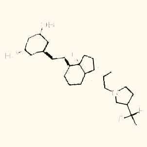 CC(CN1CCC(C(C)(F)F)C1)[C@H]1CC[C@H]2C(=C/C=C3/C[C@@H](O)C[C@@H](O)C3)CCC[C@]12C